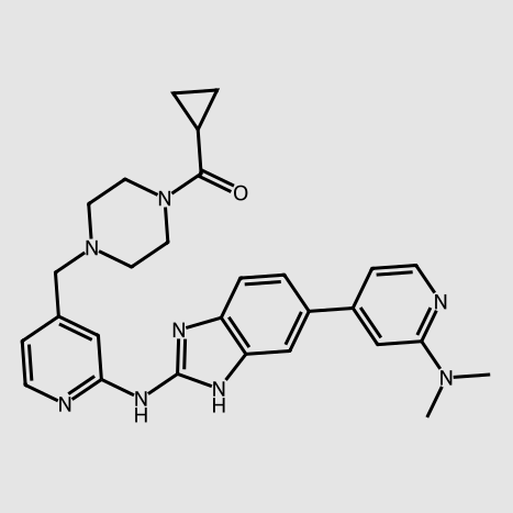 CN(C)c1cc(-c2ccc3nc(Nc4cc(CN5CCN(C(=O)C6CC6)CC5)ccn4)[nH]c3c2)ccn1